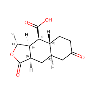 C[C@H]1OC(=O)[C@@H]2C[C@@H]3CC(=O)CC[C@H]3[C@H](C(=O)O)[C@H]12